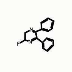 FC1CN=C(c2ccccc2)C(c2ccccc2)=N1